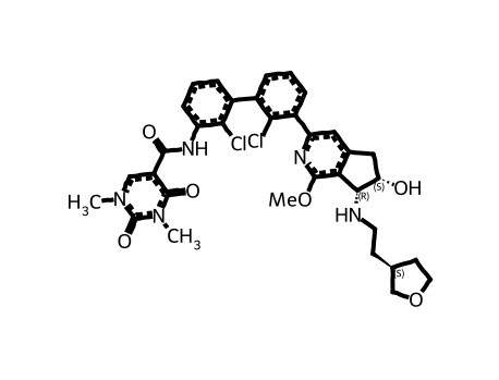 COc1nc(-c2cccc(-c3cccc(NC(=O)c4cn(C)c(=O)n(C)c4=O)c3Cl)c2Cl)cc2c1[C@@H](NCC[C@H]1CCOC1)[C@@H](O)C2